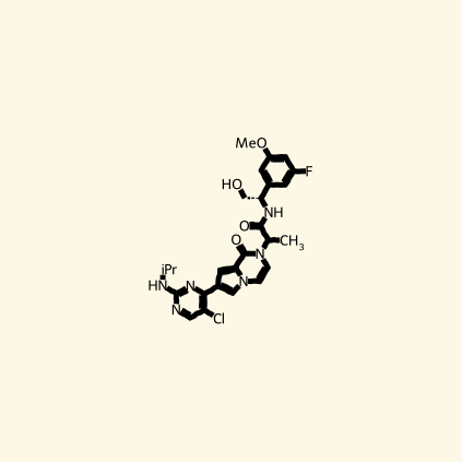 COc1cc(F)cc([C@@H](CO)NC(=O)C(C)n2ccn3cc(-c4nc(NC(C)C)ncc4Cl)cc3c2=O)c1